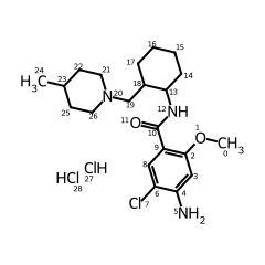 COc1cc(N)c(Cl)cc1C(=O)NC1CCCCC1CN1CCC(C)CC1.Cl.Cl